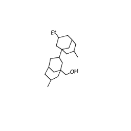 CCC1CC2CC(C)CC(C3CC4CC(C)CC(CO)(C4)C3)(C1)C2